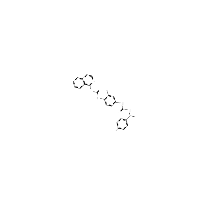 Cc1cc(NC(=S)NC(C)c2ccc(F)cc2)ccc1NC(=O)Oc1nccc2ccccc12